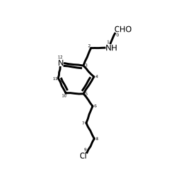 O=CNCc1cc(CCCCl)ccn1